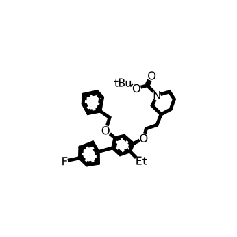 CCc1cc(-c2ccc(F)cc2)c(OCc2ccccc2)cc1OCCC1CCCN(C(=O)OC(C)(C)C)C1